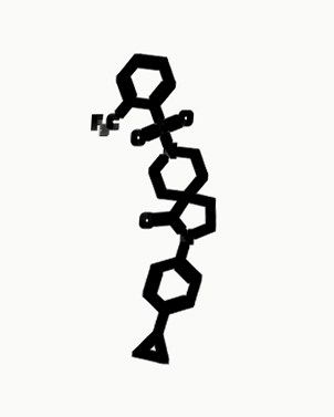 O=C1N(c2ccc(C3CC3)cc2)CCC12CCN(S(=O)(=O)c1ccccc1C(F)(F)F)CC2